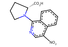 O=C(O)[C@H]1CCCN1c1ncc([N+](=O)[O-])c2ccccc12